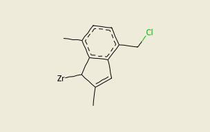 CC1=Cc2c(CCl)ccc(C)c2[CH]1[Zr]